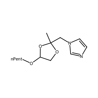 CCCCCOC1COC(C)(Cn2ccnc2)O1